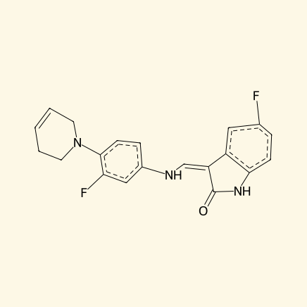 O=C1Nc2ccc(F)cc2C1=CNc1ccc(N2CC=CCC2)c(F)c1